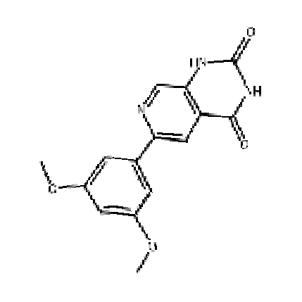 COc1cc(OC)cc(-c2cc3c(=O)[nH]c(=O)[nH]c3cn2)c1